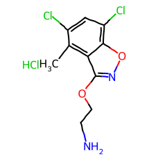 Cc1c(Cl)cc(Cl)c2onc(OCCN)c12.Cl